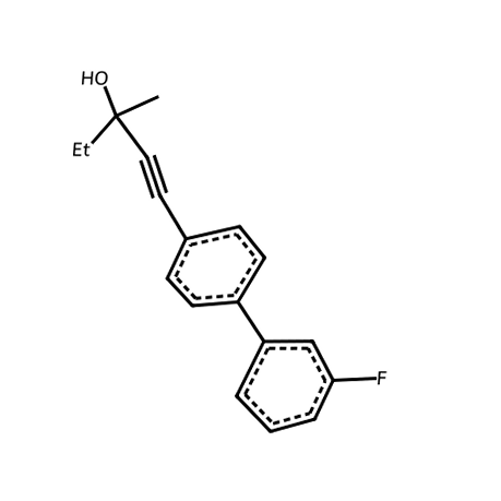 CCC(C)(O)C#Cc1ccc(-c2cccc(F)c2)cc1